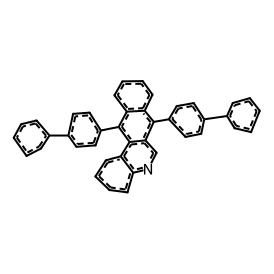 c1ccc(-c2ccc(-c3c4ccccc4c(-c4ccc(-c5ccccc5)cc4)c4c3cnc3ccccc34)cc2)cc1